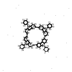 C1=CCCC(n2c3ccc4cc3c3cc(ccc32)C2C=Cc3c(c5cc(ccc5n3C3=CCCC=C3)-c3ccc5c(c3)c3cc(ccc3n5-c3ccccc3)-c3ccc5c(c3)c3cc-4ccc3n5-c3ccccc3)C2)=C1